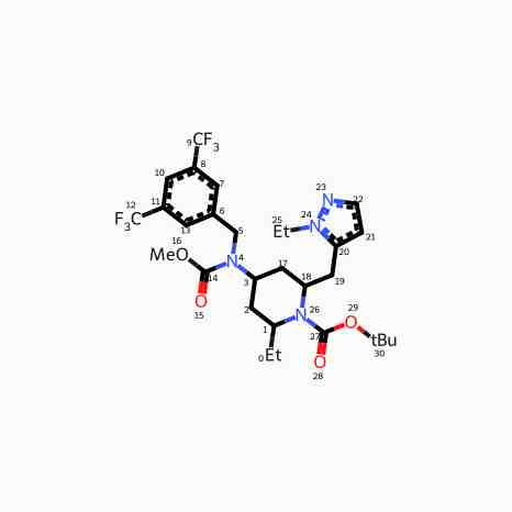 CCC1CC(N(Cc2cc(C(F)(F)F)cc(C(F)(F)F)c2)C(=O)OC)CC(Cc2ccnn2CC)N1C(=O)OC(C)(C)C